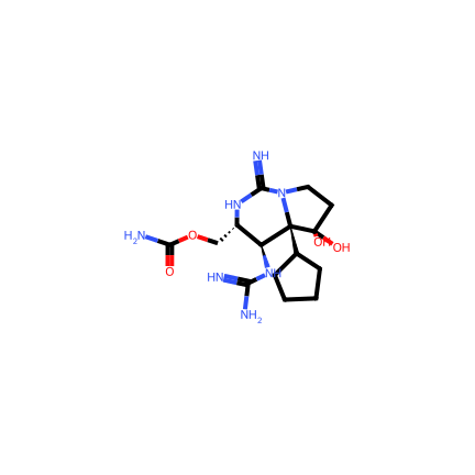 N=C(N)N[C@H]1[C@H](COC(N)=O)NC(=N)N2CCC(O)(O)[C@]12C1CCCC1